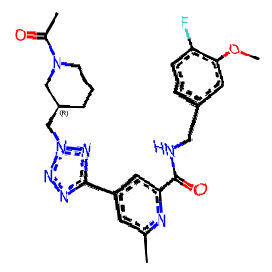 COc1cc(CNC(=O)c2cc(-c3nnn(C[C@@H]4CCCN(C(C)=O)C4)n3)cc(C)n2)ccc1F